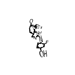 CCn1c(=O)ccc2cnc(Nc3ccc(O)cc3F)nc21